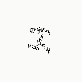 Cc1sc(N2CCOCC2)nc1CCOc1ccc(CCC(=O)O)c(COc2ccc(C(F)(F)F)cc2)c1